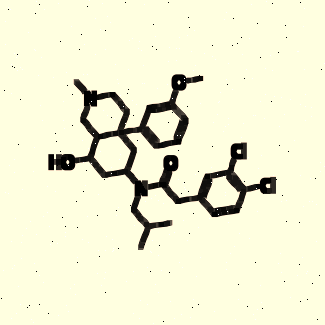 COc1cccc(C23CCN(C)CC2C(O)CC(N(CC(C)C)C(=O)Cc2ccc(Cl)c(Cl)c2)C3)c1